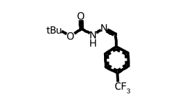 CC(C)(C)OC(=O)N/N=C\c1ccc(C(F)(F)F)cc1